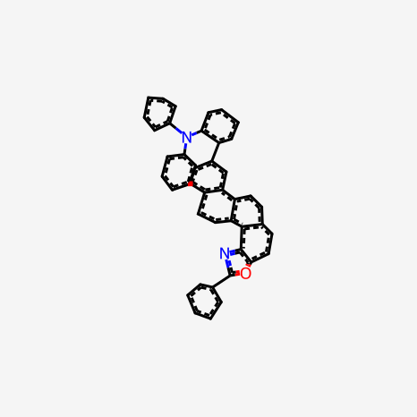 c1ccc(-c2nc3c(ccc4ccc5c6cc(-c7ccccc7N(c7ccccc7)c7ccccc7)ccc6ccc5c43)o2)cc1